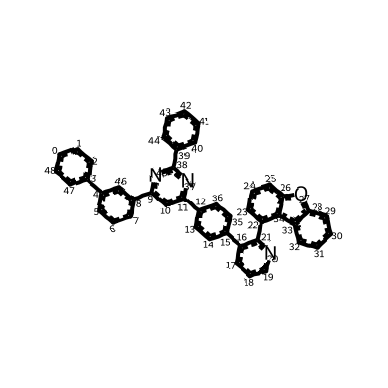 c1ccc(-c2cccc(-c3cc(-c4ccc(-c5cccnc5-c5cccc6oc7ccccc7c56)cc4)nc(-c4ccccc4)n3)c2)cc1